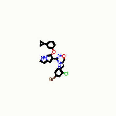 Clc1cc(Br)ccc1C[C@@H]1CON=C(c2cc3ccnn3cc2Oc2cccc(C3CC3)c2)N1